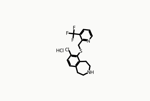 Cl.FC(F)(F)c1cccnc1CSc1c(Cl)ccc2c1CCNCC2